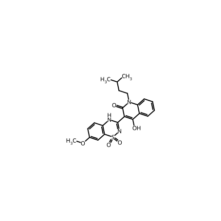 COc1ccc2c(c1)S(=O)(=O)N=C(c1c(O)c3ccccc3n(CCC(C)C)c1=O)N2